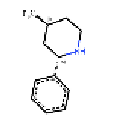 FC(F)(F)[C@H]1CCN[C@H](c2ccccc2)C1